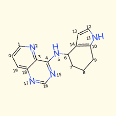 c1cnc2c(NC3CCCc4[nH]ccc43)ncnc2c1